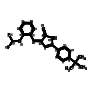 CC(C)(C)c1ccc(C2=CC(=Cc3ccccc3OC(F)F)C(=O)N2)cc1